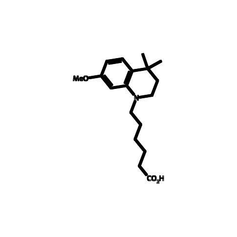 COc1ccc2c(c1)N(CCCCCC(=O)O)CCC2(C)C